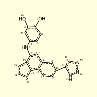 Oc1ccc(Nc2nc3cc(-c4nnn[nH]4)ccc3c3sccc23)cc1O